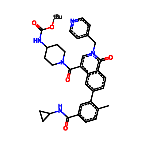 Cc1ccc(C(=O)NC2CC2)cc1-c1ccc2c(=O)n(Cc3ccncc3)cc(C(=O)N3CCC(NC(=O)OC(C)(C)C)CC3)c2c1